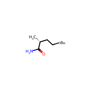 CCCCCC[C@@H](C)C(N)=O